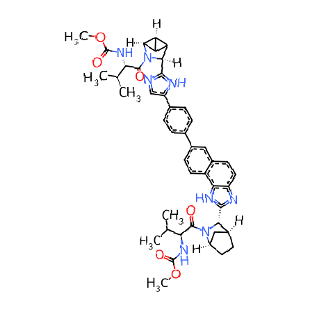 COC(=O)N[C@H](C(=O)N1[C@@H]2CC[C@@H](C2)[C@H]1c1nc2ccc3cc(-c4ccc(-c5cnc([C@@H]6C7C8[C@H]7[C@@H]8N6C(=O)[C@@H](NC(=O)OC)C(C)C)[nH]5)cc4)ccc3c2[nH]1)C(C)C